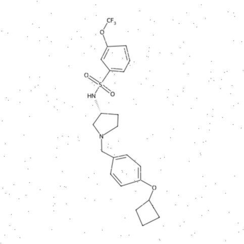 O=S(=O)(N[C@@H]1CCN(Cc2ccc(OC3CCC3)cc2)C1)c1cccc(OC(F)(F)F)c1